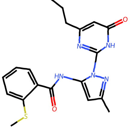 CCCc1cc(=O)[nH]c(-n2nc(C)cc2NC(=O)c2ccccc2SC)n1